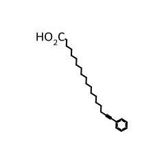 O=C(O)CCCCCCCCCCCCCCCCC#Cc1ccccc1